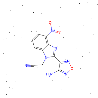 N#CCn1c(-c2nonc2N)nc2c([N+](=O)[O-])cccc21